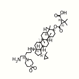 CC1([C@@H]2CC[C@]3(NCC[C@H](CN)N4CCS(=O)(=O)CC4)CC[C@]4(C)[C@H](CC[C@@H]5[C@@]6(C)CC[C@H](OC(=O)[C@H]7[C@@H](C(=O)O)C7(C)C)C(C)(C)[C@@H]6CC[C@]54C)[C@@H]23)CC1